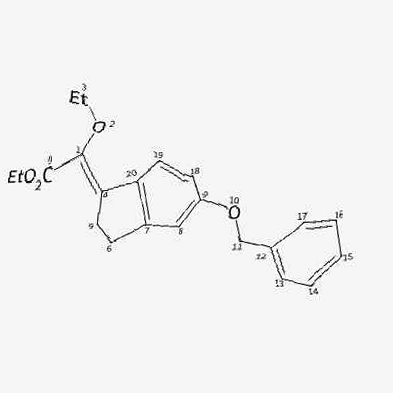 CCOC(=O)C(OCC)=C1CCc2cc(OCc3ccccc3)ccc21